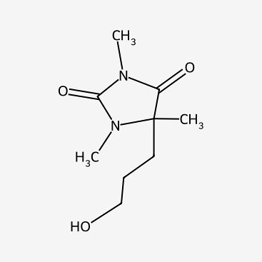 CN1C(=O)N(C)C(C)(CCCO)C1=O